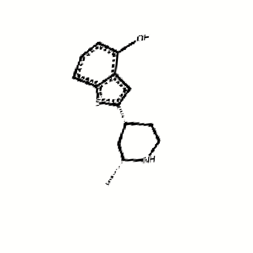 C[C@@H]1C[C@H](c2cc3c(O)cccc3s2)CCN1